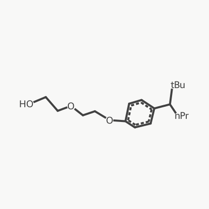 CCCC(c1ccc(OCCOCCO)cc1)C(C)(C)C